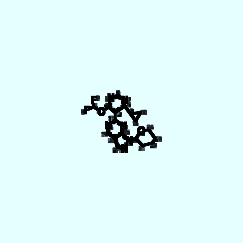 FC(F)Oc1ncnc(C2CC2)c1-c1ncc2cnn(C3CCCCO3)c2n1